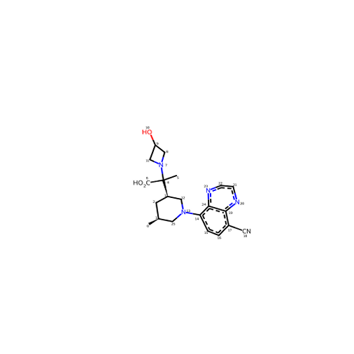 C[C@H]1C[C@@H](C(C)(C(=O)O)N2CC(O)C2)CN(c2ccc(C#N)c3nccnc23)C1